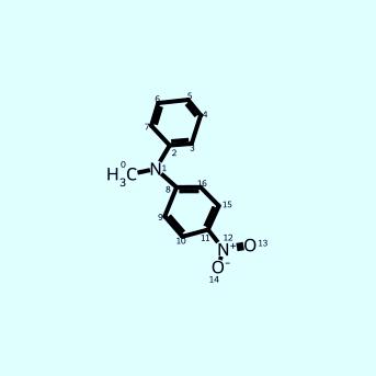 CN(c1ccccc1)c1ccc([N+](=O)[O-])cc1